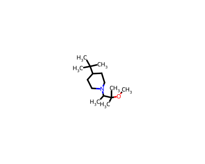 COC(C)(C)C(C)N1CCC(C(C)(C)C)CC1